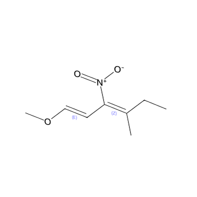 CC/C(C)=C(/C=C/OC)[N+](=O)[O-]